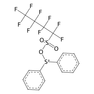 O=S(=O)(O[S+](c1ccccc1)c1ccccc1)C(F)(F)C(F)(F)C(F)(F)C(F)(F)F